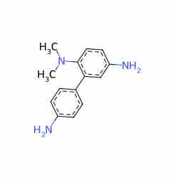 CN(C)c1ccc(N)cc1-c1ccc(N)cc1